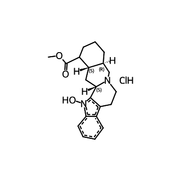 COC(=O)C1CCC[C@H]2CN3CCc4c(n(O)c5ccccc45)[C@@H]3C[C@H]12.Cl